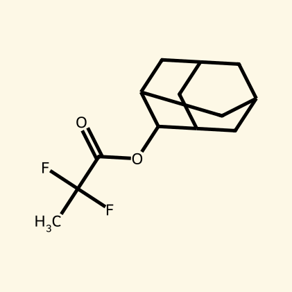 CC(F)(F)C(=O)OC1C2CC3CC(C2)CC1C3